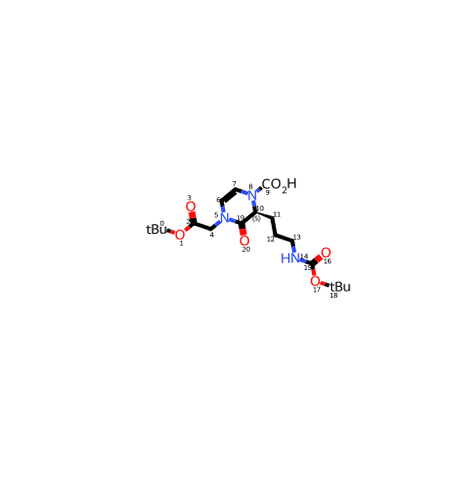 CC(C)(C)OC(=O)CN1C=CN(C(=O)O)[C@@H](CCCNC(=O)OC(C)(C)C)C1=O